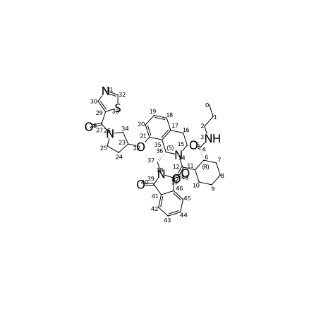 CCCNC(=O)[C@@H]1CCCCC1C(=O)N1CCc2cccc(OC3CCN(C(=O)c4cncs4)C3)c2[C@H]1CN1C(=O)c2ccccc2C1=O